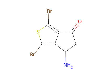 NC1CC(=O)c2c(Br)sc(Br)c21